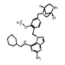 COc1cc(CN2C[C@@H]3C[C@H]2CN3)ccc1Cn1ncc2nc(N)nc(NCC3CCCCC3)c21